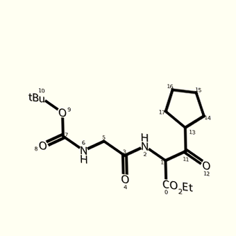 CCOC(=O)C(NC(=O)CNC(=O)OC(C)(C)C)C(=O)C1CCCC1